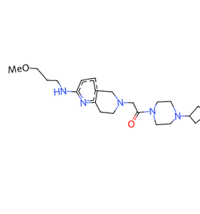 COCCCNc1ccc2c(n1)CCN(CC(=O)N1CCN(C3CCC3)CC1)C2